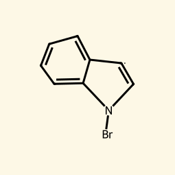 Brn1c[c]c2ccccc21